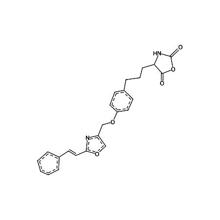 O=C1NC(CCCc2ccc(OCc3coc(C=Cc4ccccc4)n3)cc2)C(=O)O1